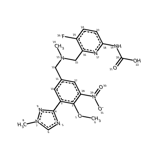 COc1c(-c2ncn(C)n2)cc(CN(C)Cc2nc(NC(=O)O)ccc2F)cc1[N+](=O)[O-]